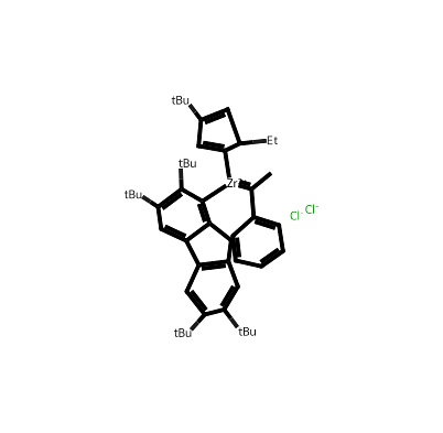 CCC1C=C(C(C)(C)C)C=[C]1/[Zr+2](=[C](\C)c1ccccc1)[c]1c2c(cc(C(C)(C)C)c1C(C)(C)C)-c1cc(C(C)(C)C)c(C(C)(C)C)cc1C2.[Cl-].[Cl-]